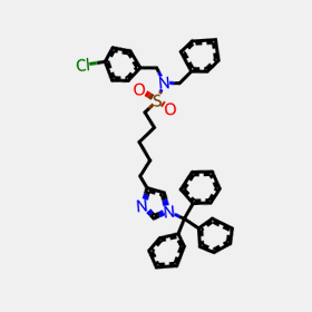 O=S(=O)(CCCCCc1cn(C(c2ccccc2)(c2ccccc2)c2ccccc2)cn1)N(Cc1ccccc1)Cc1ccc(Cl)cc1